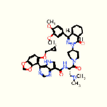 COc1ccc(C2=NN(C3CCN(C(=O)[C@H](CN(C)C)NC(=O)c4c[nH]c5c(-c6c(OCC7CC7)ccc7c6OCO7)ncnc45)CC3)C(=O)[C@@H]3CCCC[C@H]23)cc1OC